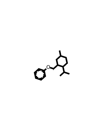 CC1CCC(C(C)C)C([CH]Oc2ccccc2)C1